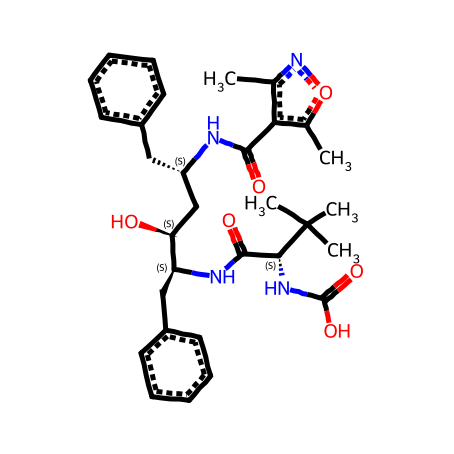 Cc1noc(C)c1C(=O)N[C@@H](Cc1ccccc1)C[C@H](O)[C@H](Cc1ccccc1)NC(=O)[C@@H](NC(=O)O)C(C)(C)C